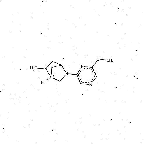 COc1cncc(N2C[C@@H]3CC2CN3C)n1